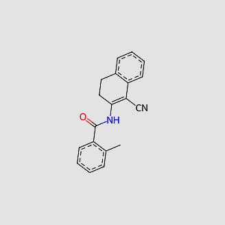 Cc1ccccc1C(=O)NC1=C(C#N)c2ccccc2CC1